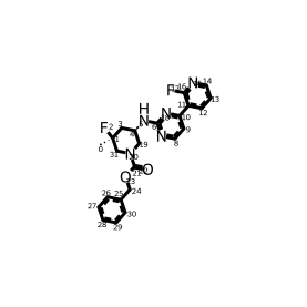 C[C@]1(F)C[C@H](Nc2nccc(-c3cccnc3F)n2)CN(C(=O)OCc2ccccc2)C1